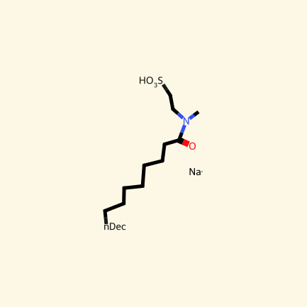 CCCCCCCCCCCCCCCCCC(=O)N(C)CCS(=O)(=O)O.[Na]